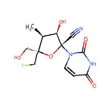 C[C@H]1[C@@H](O)[C@](C#N)(n2ccc(=O)[nH]c2=O)O[C@@]1(CO)CF